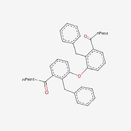 CCCCCC(=O)c1cccc(Oc2cccc(C(=O)CCCCC)c2Cc2ccccc2)c1Cc1ccccc1